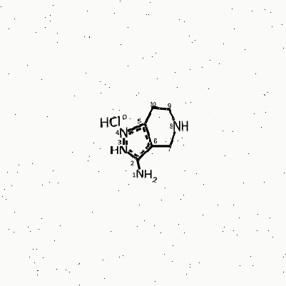 Cl.Nc1[nH]nc2c1CNCC2